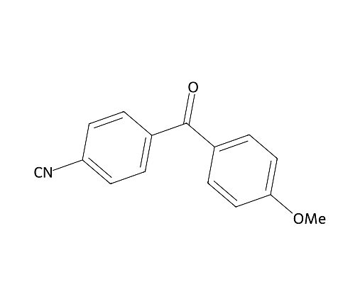 [C-]#[N+]c1ccc(C(=O)c2ccc(OC)cc2)cc1